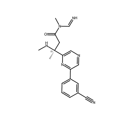 CN[C@@](C)(CC(=O)N(C)C=N)c1cncc(-c2cccc(C#N)c2)n1